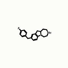 Fc1ccc(Cc2ccc3c(c2)CC2CCNCCN32)cc1